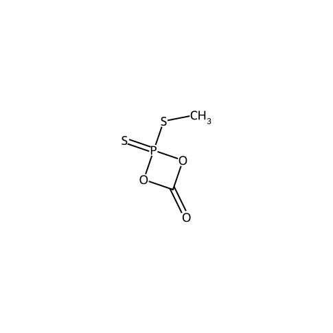 CSP1(=S)OC(=O)O1